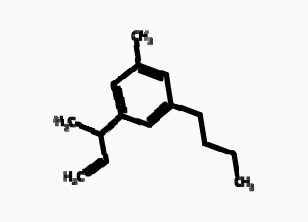 [CH2]C(C=C)c1cc(C)cc(CCCC)c1